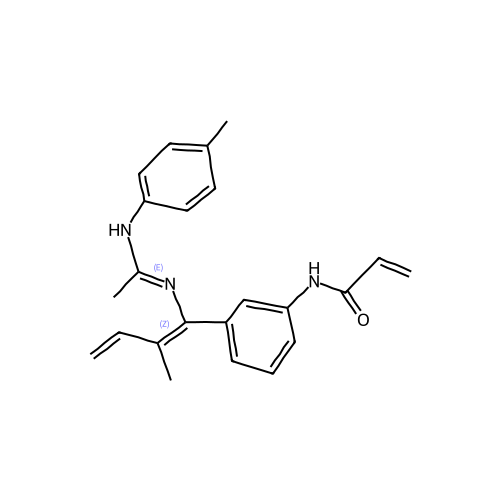 C=CC(=O)Nc1cccc(C(/N=C(\C)Nc2ccc(C)cc2)=C(\C)C=C)c1